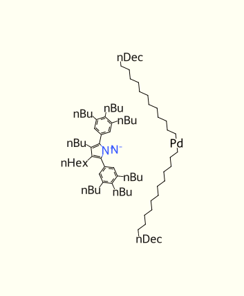 CCCCCCC1=C(c2cc(CCCC)c(CCCC)c(CCCC)c2)[N+](=[N-])C(c2cc(CCCC)c(CCCC)c(CCCC)c2)=C1CCCC.CCCCCCCCCCCCCCCCCCCCC[CH2][Pd][CH2]CCCCCCCCCCCCCCCCCCCCC